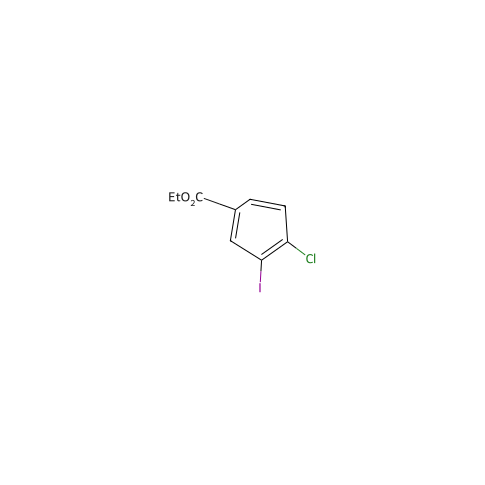 CCOC(=O)c1ccc(Cl)c(I)c1